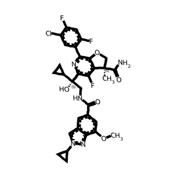 COc1cc(C(=O)NC[C@](O)(c2nc(-c3cc(Cl)c(F)cc3F)c3c(c2F)[C@](C)(C(N)=O)CO3)C2CC2)cc2cn(C3CC3)nc12